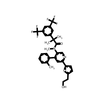 Cc1ccccc1-c1cc(-c2ccc(CCO)s2)ncc1N(C)C(=O)C(C)(C)c1cc(C(F)(F)F)cc(C(F)(F)F)c1